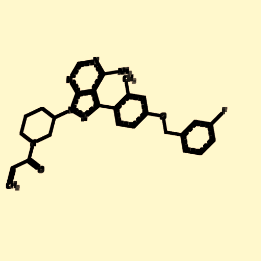 C=CC(=O)N1CCCC(n2nc(-c3ccc(OCc4cccc(F)c4)cc3C)c3c(N)ncnc32)C1